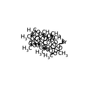 [2H]C([2H])(OC(C)=O)[C@H]1O[C@H](O[C@@H]2[C@H](OC(C)=O)[C@@H](OC(C)=O)[C@H](O[C@H]3[C@H](OC(C)=O)[C@@H](OC(C)=O)[C@H](OCCBr)O[C@@H]3COC(C)=O)O[C@@H]2C([2H])([2H])OC(C)=O)[C@H](OC(C)=O)[C@@H](OC(C)=O)[C@H]1OC(C)=O